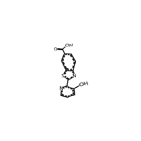 O=C(O)c1ccc2nc(-c3ncccc3O)sc2c1